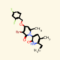 C=Cc1[nH]c(=O)c(-n2c(C)cc(OCc3ccc(F)cc3F)c(Br)c2=O)cc1C